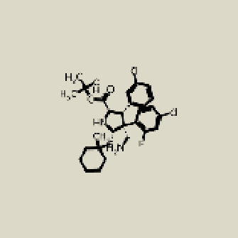 CC1(C[C@@H]2N[C@@H](C(=O)OC(C)(C)C)[C@H](c3cccc(Cl)c3)[C@@]2(CN)c2ccc(Cl)cc2F)CCCCC1